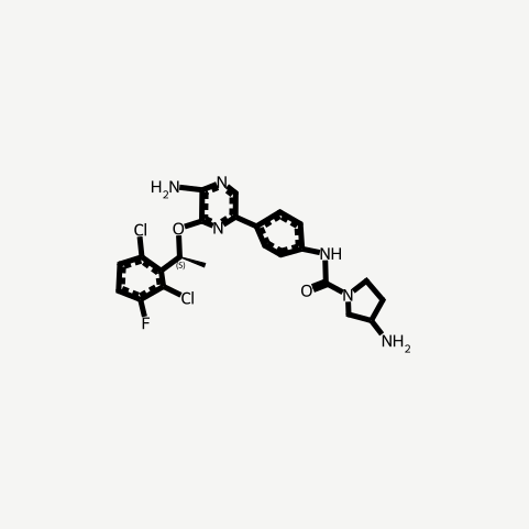 C[C@H](Oc1nc(-c2ccc(NC(=O)N3CCC(N)C3)cc2)cnc1N)c1c(Cl)ccc(F)c1Cl